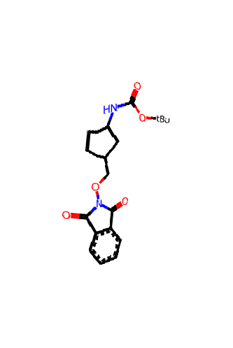 CC(C)(C)OC(=O)NC1CCC(CON2C(=O)c3ccccc3C2=O)C1